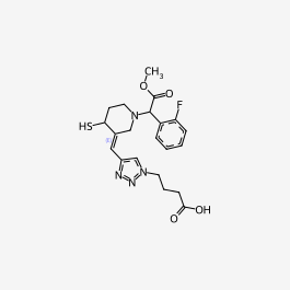 COC(=O)C(c1ccccc1F)N1CCC(S)/C(=C/c2cn(CCCC(=O)O)nn2)C1